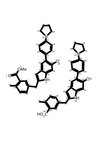 COC(=O)c1cc(Cc2cc3cc(-c4ccc(N5CCCC5)cc4)c(Cl)cc3[nH]2)ccc1C.Cc1ccc(Cc2cc3cc(-c4ccc(N5CCCC5)cc4)c(Cl)cc3[nH]2)cc1C(=O)O